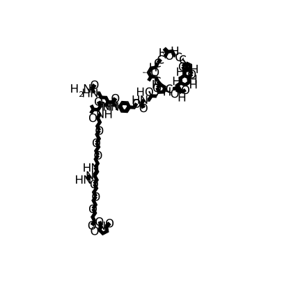 C=C1C[C@@H]2CC[C@@]34C[C@H]5O[C@@H]6C(C[C@H]7CC[C@H](CC(=O)C[C@@H]8C[C@@H](C[C@H](O)CNC(=O)OCc9ccc(NC(=O)C(CCCNC(N)=O)NC(=O)[C@@H](NC(=O)CCOCCOCCOCCN/C=C(/COCCOCCOCCC(=O)ON%10C(=O)CCC%10=O)N=N)C(C)C)cc9)O[C@H]8CC8O[C@@H](CC[C@@H]1O2)C[C@@H](C)C8C)OC7[C@@H]6O3)[C@H]5O4